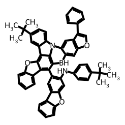 CC(C)(C)c1ccc(Nc2cc3oc4ccccc4c3cc2-c2c3c4c(c5cc(C(C)(C)C)ccc5n4-c4cc5c(-c6ccccc6)coc5cc4B3)c3oc4ccccc4c23)cc1